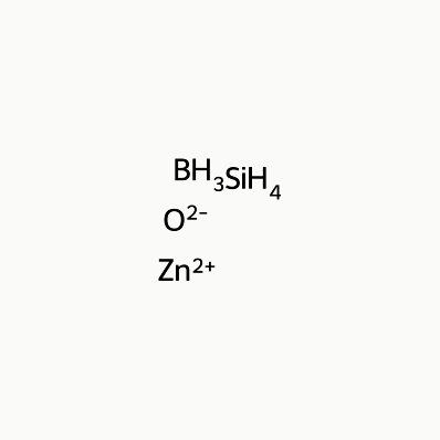 B.[O-2].[SiH4].[Zn+2]